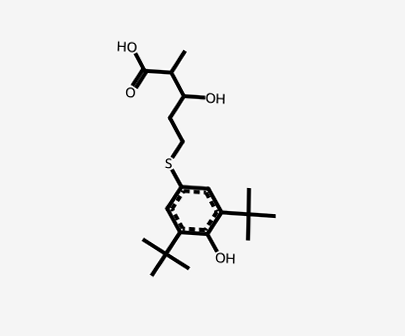 CC(C(=O)O)C(O)CCSc1cc(C(C)(C)C)c(O)c(C(C)(C)C)c1